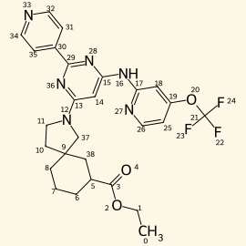 CCOC(=O)C1CCCC2(CCN(c3cc(Nc4cc(OC(F)(F)F)ccn4)nc(-c4ccncc4)n3)C2)C1